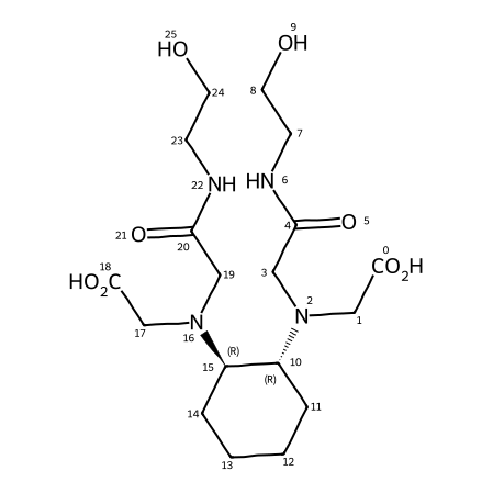 O=C(O)CN(CC(=O)NCCO)[C@@H]1CCCC[C@H]1N(CC(=O)O)CC(=O)NCCO